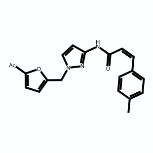 CC(=O)c1ccc(Cn2ccc(NC(=O)/C=C\c3ccc(C)cc3)n2)o1